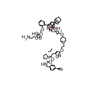 CC(C)[C@@H](C(=O)N1CCC[C@H]1C(=O)N[C@@H](C)c1ccc(C#N)cc1)c1cc(OCCN2CCC(OC3CC(Oc4cc(N5C6CCC5CN(c5cc(-c7ccccc7OCOP(=O)(O)OCCN)nnc5N)C6)ccn4)C3)CC2)no1